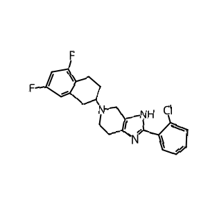 Fc1cc(F)c2c(c1)CC(N1CCc3nc(-c4ccccc4Cl)[nH]c3C1)CC2